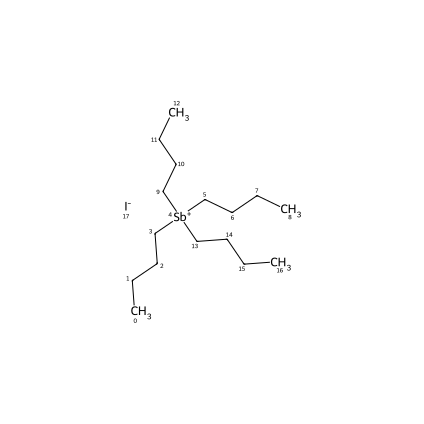 CCC[CH2][Sb+]([CH2]CCC)([CH2]CCC)[CH2]CCC.[I-]